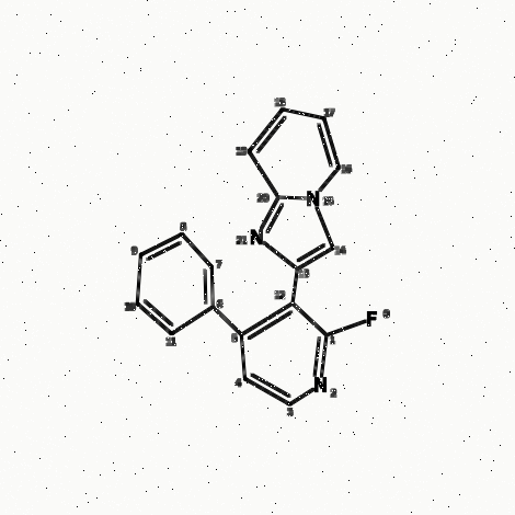 Fc1nccc(-c2ccccc2)c1-c1cn2ccccc2n1